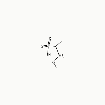 CO[SiH2]C(C)S(=O)(=O)S